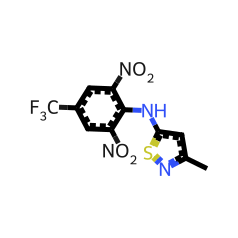 Cc1cc(Nc2c([N+](=O)[O-])cc(C(F)(F)F)cc2[N+](=O)[O-])sn1